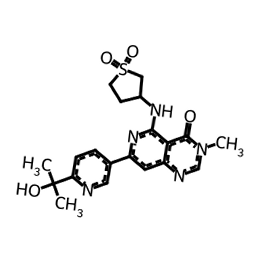 Cn1cnc2cc(-c3ccc(C(C)(C)O)nc3)nc(NC3CCS(=O)(=O)C3)c2c1=O